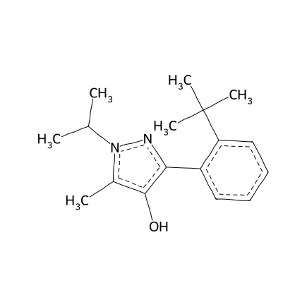 Cc1c(O)c(-c2ccccc2C(C)(C)C)nn1C(C)C